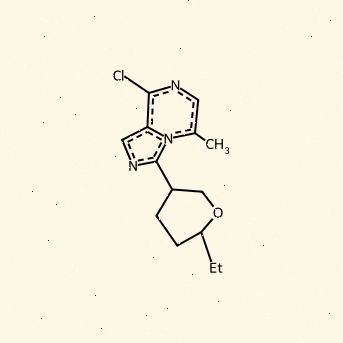 CCC1CCC(c2ncc3c(Cl)ncc(C)n23)CO1